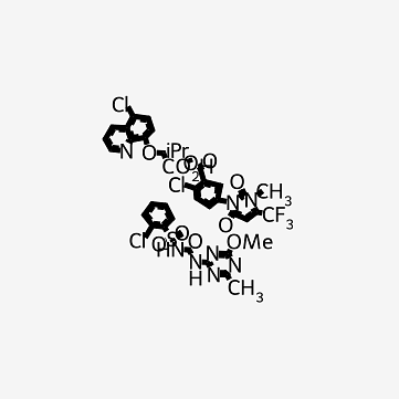 CC(C)OC(=O)c1cc(-n2c(=O)cc(C(F)(F)F)n(C)c2=O)ccc1Cl.COc1nc(C)nc(NC(=O)NS(=O)(=O)c2ccccc2Cl)n1.O=C(O)COc1ccc(Cl)c2cccnc12